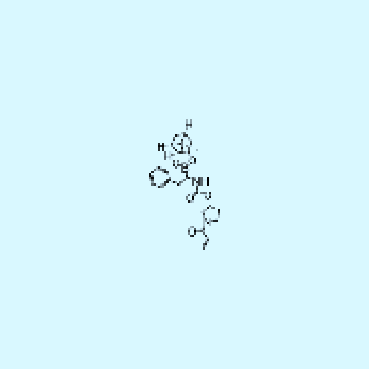 C=CC(=O)N1CC[C@H](OC(=O)N[C@@H](Cc2ccccc2)B2O[C@H]3[C@H]4C[C@@H](C[C@@]3(C)O2)C4(C)C)C1